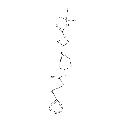 CC(C)(C)OC(=O)N1CC(N2CCC(CC(=O)OCc3ccccc3)CC2)C1